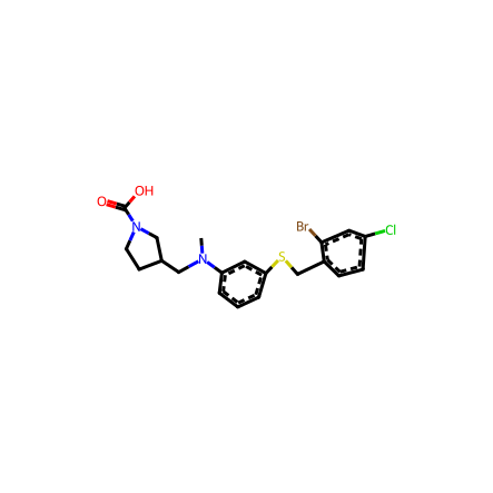 CN(CC1CCN(C(=O)O)C1)c1cccc(SCc2ccc(Cl)cc2Br)c1